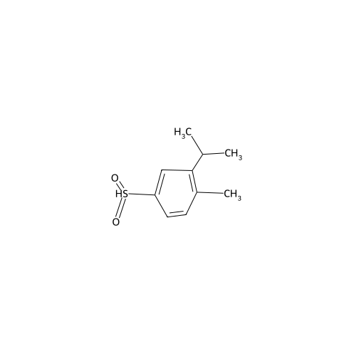 Cc1ccc([SH](=O)=O)cc1C(C)C